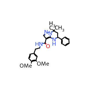 COc1ccc(CCNC(=O)c2cnn3c2NC(c2ccccc2)CC3(C)C)cc1OC